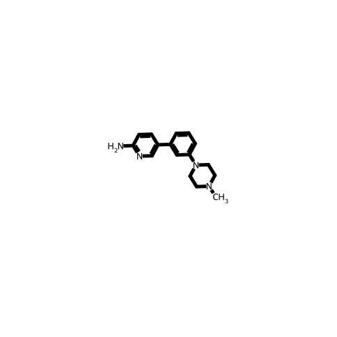 CN1CCN(c2cccc(-c3ccc(N)nc3)c2)CC1